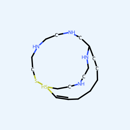 C1=C[SH]2CCNCCNC(CCCCC1)CNCCNCCS2